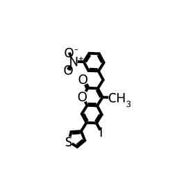 Cc1c(Cc2cccc([N+](=O)[O-])c2)c(=O)oc2cc(-c3ccsc3)c(I)cc12